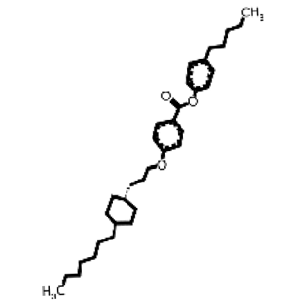 CCCCCCC[C@H]1CC[C@H](CCCOc2ccc(C(=O)Oc3ccc(CCCCC)cc3)cc2)CC1